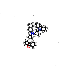 c1cc(N(c2ccc(-c3cccc4oc5ccccc5c34)cc2)c2ccc3ccccc3c2)cc(-n2c3ccccc3c3ccccc32)c1